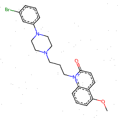 COc1cccc2c1ccc(=O)n2CCCN1CCN(c2cccc(Br)c2)CC1